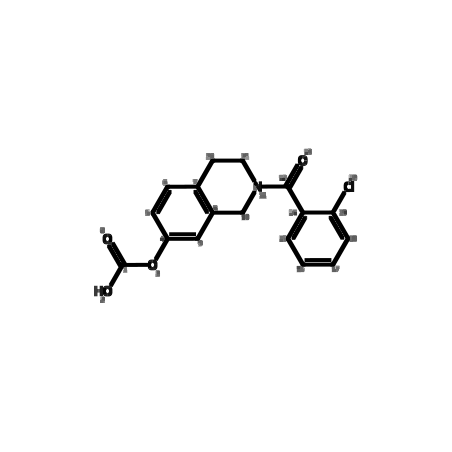 O=C(O)Oc1ccc2c(c1)CN(C(=O)c1ccccc1Cl)CC2